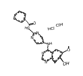 COc1cc2c(Nc3cnc(NC(=O)c4ccccc4)nc3)ncnc2cc1O.Cl.Cl